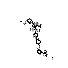 COC(=O)c1cccc(OCC2CCN(c3ccc(NC(=O)c4oc(N5CCCC(C)C5)nc4C(F)(F)F)cn3)CC2)c1